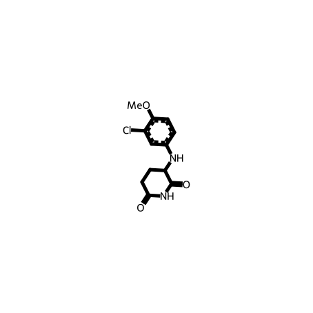 COc1ccc(NC2CCC(=O)NC2=O)cc1Cl